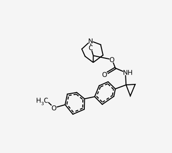 COc1ccc(-c2ccc(C3(NC(=O)OC4CN5CCC4CC5)CC3)cc2)cc1